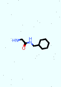 [NH]CC(=O)NCC1CCCCC1